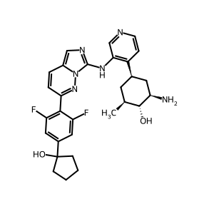 C[C@H]1C[C@@H](c2ccncc2Nc2ncc3ccc(-c4c(F)cc(C5(O)CCCC5)cc4F)nn23)C[C@@H](N)[C@@H]1O